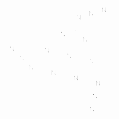 [N-]=[N+]=NC1=NC2=NC(N=[N+]=[N-])=NC3=NC(N=[N+]=[N-])=NC(=N1)N23